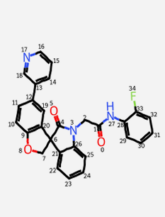 O=C(CN1C(=O)C2(COc3ccc(-c4cccnc4)cc32)c2ccccc21)Nc1ccccc1F